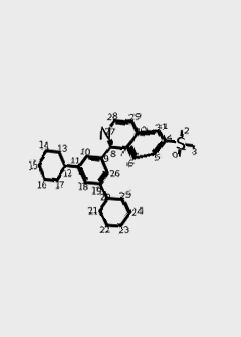 CS(C)(C)c1ccc2c(-c3cc(C4CCCCC4)cc(C4CCCCC4)c3)nccc2c1